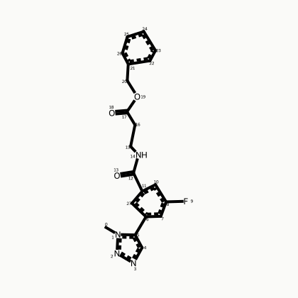 Cn1nncc1-c1cc(F)cc(C(=O)NCCC(=O)OCc2ccccc2)c1